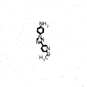 COc1ccc(-c2ncn(-c3ccc(N)cc3)n2)cn1